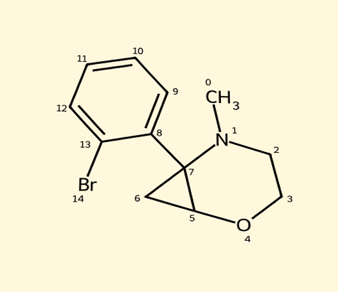 CN1CCOC2CC21c1ccccc1Br